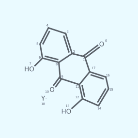 O=C1c2cccc(O)c2C(=O)c2c(O)cccc21.[Y]